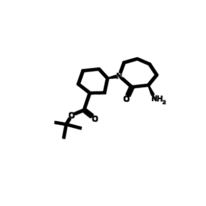 CC(C)(C)OC(=O)C1CCC[C@@H](N2CCCC[C@@H](N)C2=O)C1